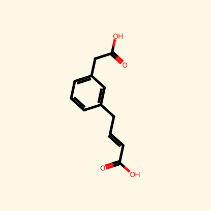 O=C(O)C=CCc1cccc(CC(=O)O)c1